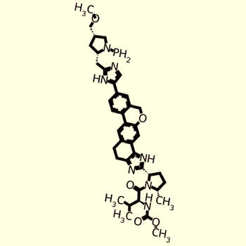 COC[C@H]1C[C@@H](Cc2ncc(-c3ccc4c(c3)COc3cc5c(cc3-4)CCc3nc([C@@H]4CC[C@H](C)N4C(=O)[C@@H](NC(=O)OC)C(C)C)[nH]c3-5)[nH]2)N(P)C1